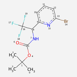 CC(C)(C)OC(=O)NC(c1cccc(Br)n1)C(F)(F)F